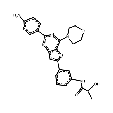 CC(O)C(=O)Nc1cccc(-c2cc3nc(-c4ccc(N)nc4)nc(N4CCOCC4)c3s2)c1